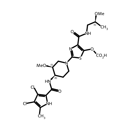 CO[C@H]1CN(c2nc(C(=O)NC[C@H](C)OC)c(OC(=O)O)s2)CC[C@H]1NC(=O)c1[nH]c(C)c(Cl)c1Cl